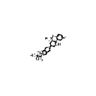 CC(C)(O)Cn1cc2c(n1)CN(C1CN[C@H](C3CC(F)=CC=C3F)C(N)C1)C2